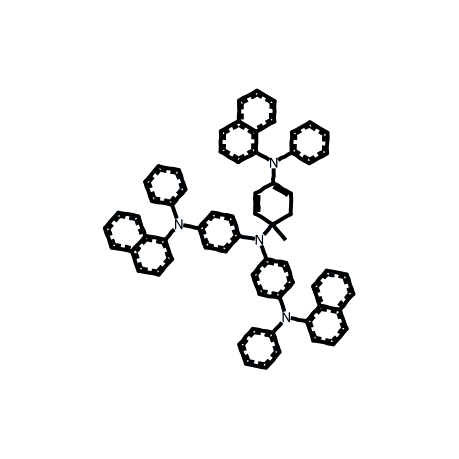 CC1(N(c2ccc(N(c3ccccc3)c3cccc4ccccc34)cc2)c2ccc(N(c3ccccc3)c3cccc4ccccc34)cc2)C=CC(N(c2ccccc2)c2cccc3ccccc23)=CC1